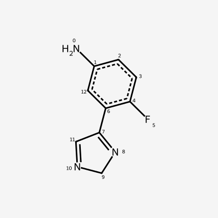 Nc1ccc(F)c(C2=NCN=C2)c1